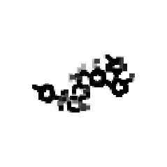 Cc1ccc(S(=O)(=O)N2C=CNC(=O)[C@H]2CC(=O)N[C@H](C)c2ccc(-c3cccc(F)c3-c3nc(C)no3)cc2F)cc1